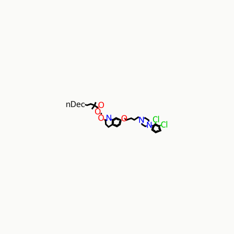 CCCCCCCCCCCCC(C)(C)C(=O)OCOC1=Nc2cc(OCCCCN3CCN(c4cccc(Cl)c4Cl)CC3)ccc2CC1